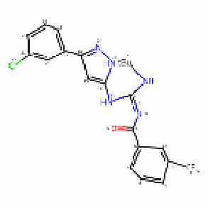 CC(C)(C)N/C(=N/C(=O)c1cccc(C(F)(F)F)c1)Nc1cc(-c2cccc(Cl)c2)n[nH]1